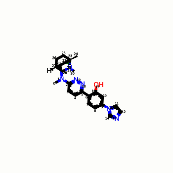 CN(c1ccc(-c2ccc(-n3ccnc3)cc2O)nn1)C1C(F)[C@]2(C)CC[C@H]1CN2C